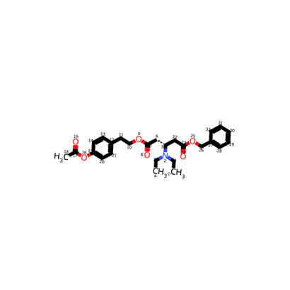 CCN(CC)[C@H](CC(=O)OCCc1ccc(OC(C)=O)cc1)CC(=O)OCc1ccccc1